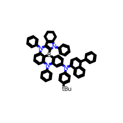 CC(C)(C)c1ccc(N(c2ccc3c(c2)N(c2ccccc2)c2cccc4c2B3c2c(c3c(n2-c2ccccc2)CCCC3)N4c2ccccc2)c2ccc(-c3ccccc3)c3ccccc23)cc1